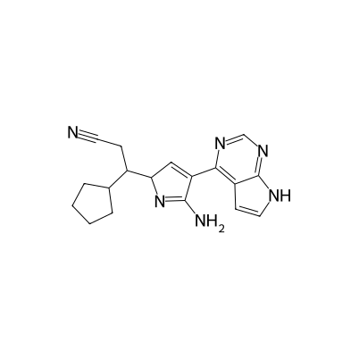 N#CCC(C1CCCC1)C1C=C(c2ncnc3[nH]ccc23)C(N)=N1